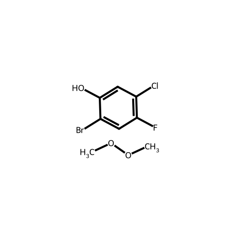 COOC.Oc1cc(Cl)c(F)cc1Br